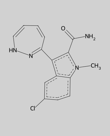 Cn1c(C(N)=O)c(C2=NNC=CC=C2)c2cc(Cl)ccc21